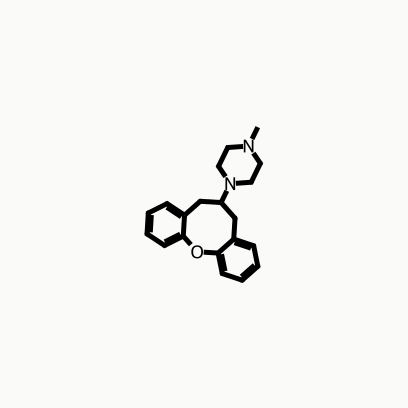 CN1CCN(C2Cc3ccccc3Oc3ccccc3C2)CC1